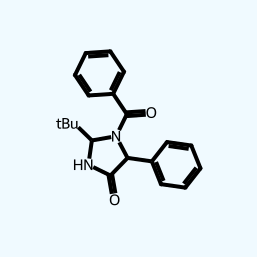 CC(C)(C)C1NC(=O)C(c2ccccc2)N1C(=O)c1ccccc1